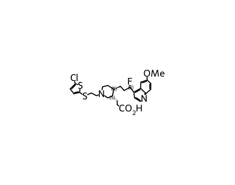 COc1ccc2nccc([C@H](F)CC[C@@H]3CCN(CCSc4ccc(Cl)s4)C[C@H]3CCC(=O)O)c2c1